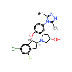 CCc1nnc(C(C)C)n1-c1ccc(O[C@H]2c3cc(Cl)cc(F)c3C[C@@H]2N2CCC(O)C2)cc1